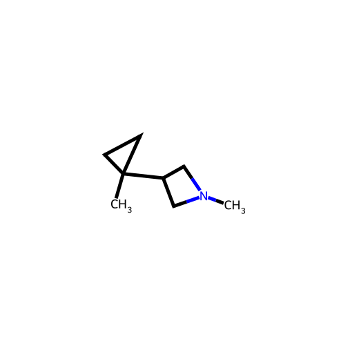 CN1CC(C2(C)CC2)C1